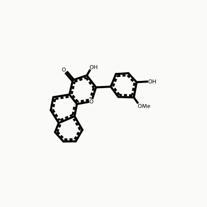 COc1cc(-c2oc3c(ccc4ccccc43)c(=O)c2O)ccc1O